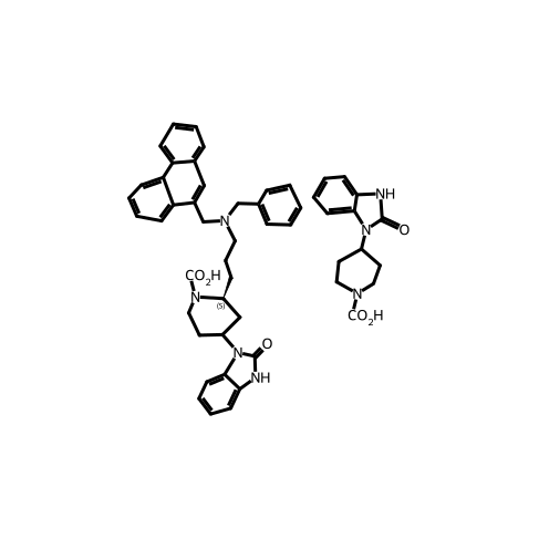 O=C(O)N1CCC(n2c(=O)[nH]c3ccccc32)CC1.O=C(O)N1CCC(n2c(=O)[nH]c3ccccc32)C[C@@H]1CCCN(Cc1ccccc1)Cc1cc2ccccc2c2ccccc12